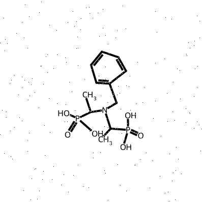 CC(N(Cc1ccccc1)C(C)P(=O)(O)O)P(=O)(O)O